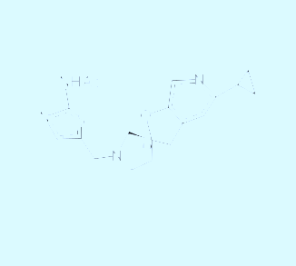 CC(=O)Nc1ncc(CN2C[C@@]3(Cc4cc(C5CC5)ncc4O3)C[C@@H]2C)s1